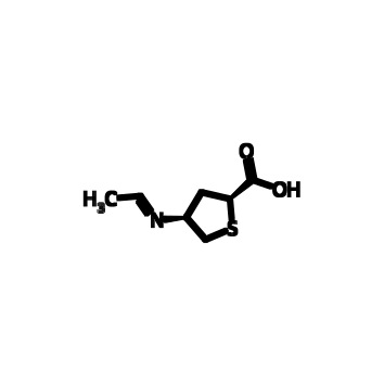 C/C=N/[C@@H]1CS[C@H](C(=O)O)C1